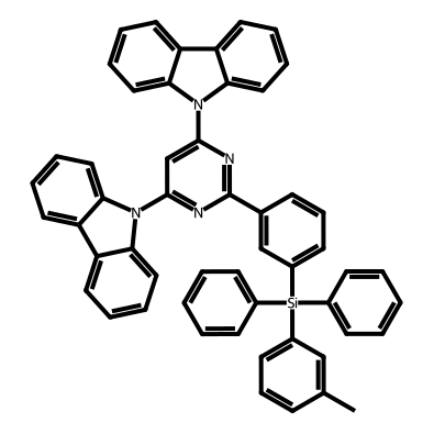 Cc1cccc([Si](c2ccccc2)(c2ccccc2)c2cccc(-c3nc(-n4c5ccccc5c5ccccc54)cc(-n4c5ccccc5c5ccccc54)n3)c2)c1